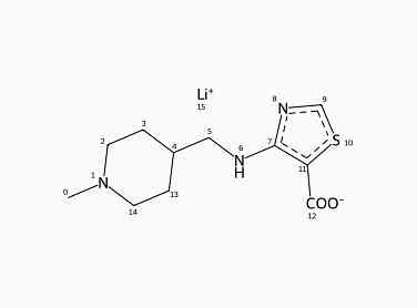 CN1CCC(CNc2ncsc2C(=O)[O-])CC1.[Li+]